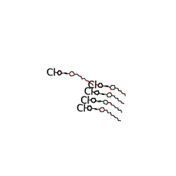 CCCCCCC1CCC(C#Cc2ccc(Cl)cc2)CC1.CCCCCCCC1CCC(C#Cc2ccc(Cl)cc2)CC1.CCCCCCCCC1CCC(C#Cc2ccc(Cl)cc2)CC1.CCCCCCCCCC1CCC(C#Cc2ccc(Cl)cc2)CC1.CCCCCCCCCCC1CCC(C#Cc2ccc(Cl)cc2)CC1